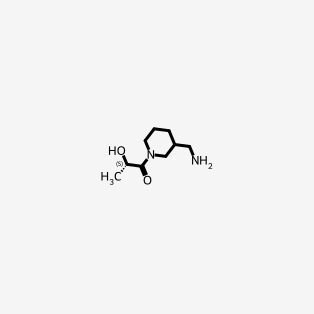 C[C@H](O)C(=O)N1CCCC(CN)C1